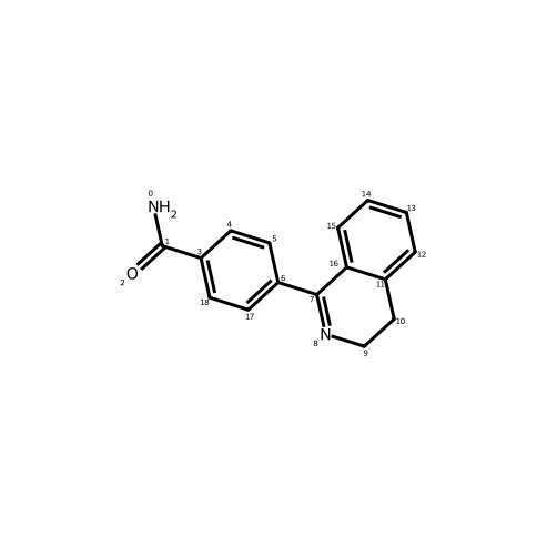 NC(=O)c1ccc(C2=NCCc3ccccc32)cc1